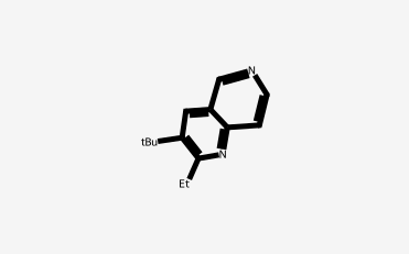 CCc1nc2ccncc2cc1C(C)(C)C